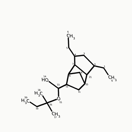 CCC1CC(CC)C2C3CC(CC3C(O)OC(C)(C)CC)C12